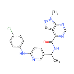 CC(NC(=O)c1ncnc2c1cnn2C)c1ccc(Nc2ccc(Cl)cc2)nc1